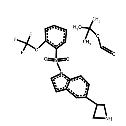 CC(C)(C)OC=O.O=S(=O)(c1ccccc1OC(F)(F)F)n1ccc2cc(C3CNC3)ccc21